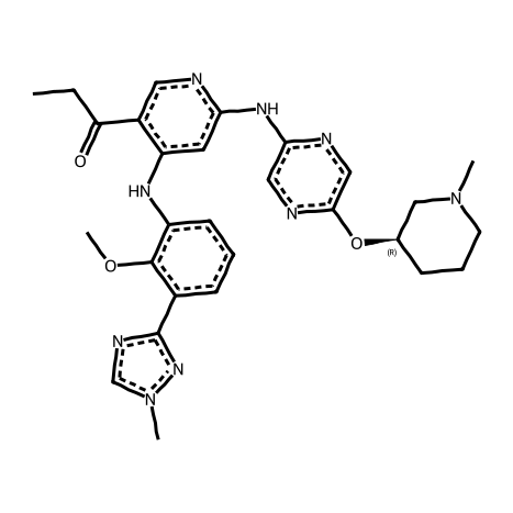 CCC(=O)c1cnc(Nc2cnc(O[C@@H]3CCCN(C)C3)cn2)cc1Nc1cccc(-c2ncn(C)n2)c1OC